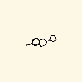 Brc1ccc2c(c1)CC[C@@H](N1CCCC1)C2